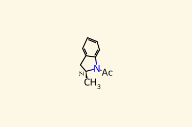 CC(=O)N1c2ccccc2C[C@@H]1C